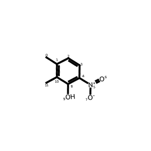 Cc1ccc([N+](=O)[O-])c(O)c1C